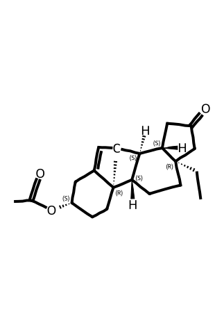 CC[C@]12CC[C@H]3[C@@H](CC=C4C[C@@H](OC(C)=O)CC[C@@]43C)[C@@H]1CC(=O)C2